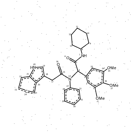 COc1cc(C(C(=O)NC2CCCCC2)N(C(=O)Cc2c[nH]c3ccccc23)c2ccccc2)cc(OC)c1OC